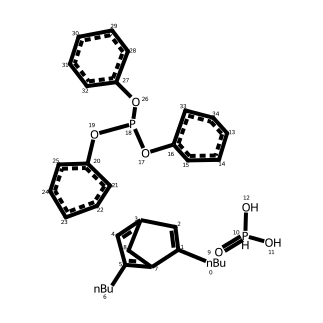 CCCCC1=CC2=CC(CCCC)=C1C2.O=[PH](O)O.c1ccc(OP(Oc2ccccc2)Oc2ccccc2)cc1